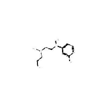 CCCN(CCOC)CCN(C)c1cccc(C(C)C)c1